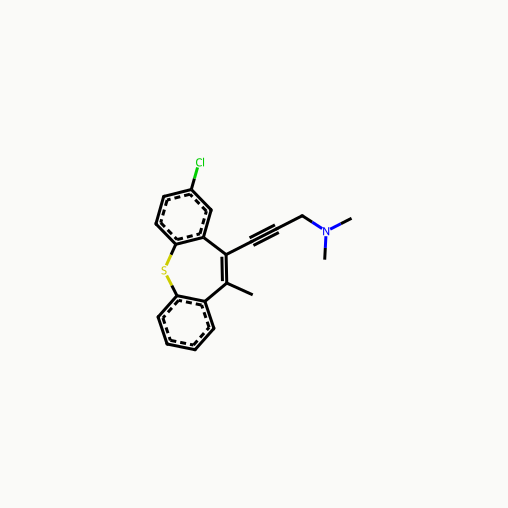 CC1=C(C#CCN(C)C)c2cc(Cl)ccc2Sc2ccccc21